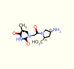 Cc1cn(CC(=O)N2C[C@@H](N)C[C@H]2C(=O)O)c(=O)[nH]c1=O